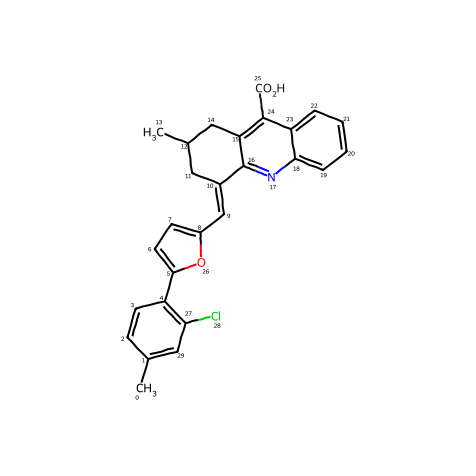 Cc1ccc(-c2ccc(/C=C3\CC(C)Cc4c3nc3ccccc3c4C(=O)O)o2)c(Cl)c1